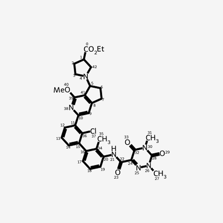 CCOC(=O)C1CCN(C2CCc3cc(-c4cccc(-c5cccc(NC(=O)c6nn(C)c(=O)n(C)c6=O)c5C)c4Cl)nc(OC)c32)C1